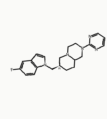 Fc1ccc2c(ccn2C[C@@H]2CCC3CN(c4ncccn4)CCN3C2)c1